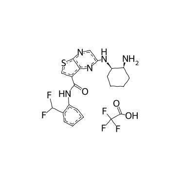 N[C@H]1CCCC[C@H]1Nc1cnc2scc(C(=O)Nc3ccccc3C(F)F)c2n1.O=C(O)C(F)(F)F